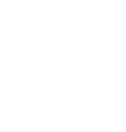 Cc1noc(-c2ccccc2Cl)c1C(=O)c1nnn(Cc2cc(C(F)(F)F)cc(C(F)(F)F)c2)c1N1CCSCC1